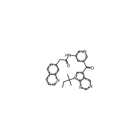 CCC(C)(C)n1cc(C(=O)c2cncc(NC(=O)Cc3ccc4cccnc4c3)c2)c2cncnc21